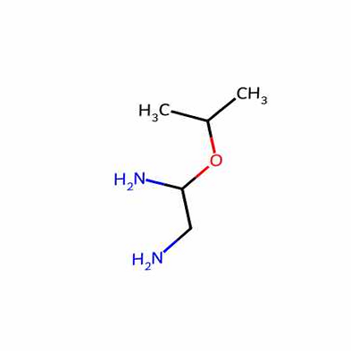 CC(C)OC(N)CN